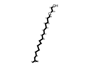 CC(C)CCCCCCCCCCCCCCCCOCCO